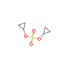 O=S(=O)(OC1CC1)OC1CC1